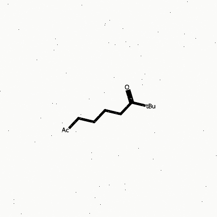 CC(=O)CCCCC(=O)C(C)(C)C